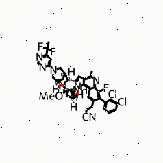 COC(=O)N1[C@@H]2C[C@@H](CN(c3cc(C(C)(F)F)ncn3)C2)[C@@H]1c1cc2c(C)nc3c(F)c(-c4cccc(Cl)c4Cl)c(CCC#N)cc3c2n1[C@H]1[C@H]2CN[C@@H]1C2